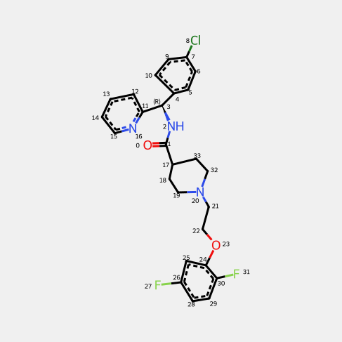 O=C(N[C@H](c1ccc(Cl)cc1)c1ccccn1)C1CCN(CCOc2cc(F)ccc2F)CC1